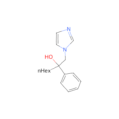 CCCCCCC(O)(Cn1ccnc1)c1ccccc1